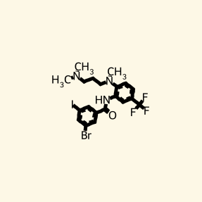 CN(C)CCCN(C)c1ccc(C(F)(F)F)cc1NC(=O)c1cc(Br)cc(I)c1